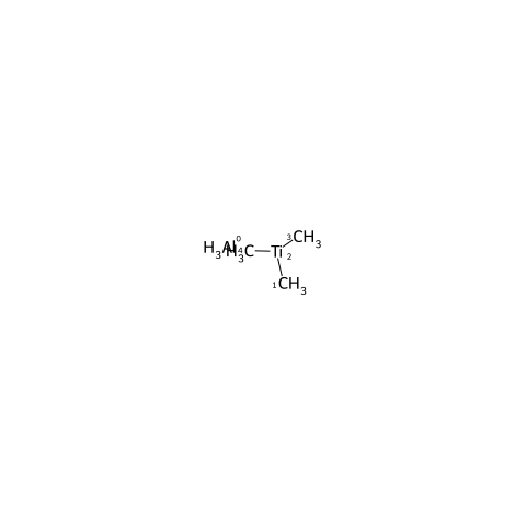 [AlH3].[CH3][Ti]([CH3])[CH3]